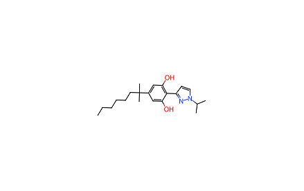 CCCCCCC(C)(C)c1cc(O)c(-c2ccn(C(C)C)n2)c(O)c1